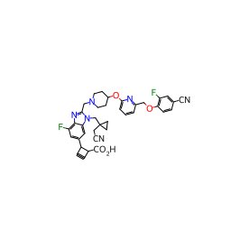 N#CCC1(Cn2c(CN3CCC(Oc4cccc(COc5ccc(C#N)cc5F)n4)CC3)nc3c(F)cc(C4C#CC4C(=O)O)cc32)CC1